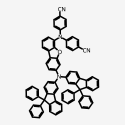 N#Cc1ccc(N(c2ccc(C#N)cc2)c2cccc3c2oc2cc(N(c4ccc5c(c4)-c4ccccc4C5(c4ccccc4)c4ccccc4)c4ccc5c(c4)C(c4ccccc4)(c4ccccc4)c4ccccc4-5)ccc23)cc1